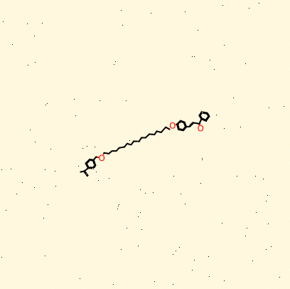 C=C(C)c1ccc(COCCCCCCCCCCCCCCCCCCOc2ccc(/C=C/C(=O)c3ccccc3)cc2)cc1